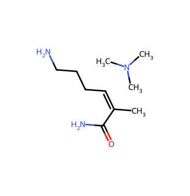 CC(=CCCCN)C(N)=O.CN(C)C